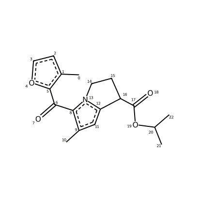 Cc1ccoc1C(=O)c1c(C)cc2n1CCC2C(=O)OC(C)C